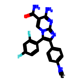 [C-]#[N+]c1ccc(-c2nc3nc(N)c(C(N)=O)cn3c2-c2ccc(F)cc2F)cc1